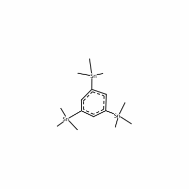 [CH3][Sn]([CH3])([CH3])[c]1c[c]([Sn]([CH3])([CH3])[CH3])c[c]([Sn]([CH3])([CH3])[CH3])c1